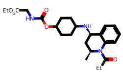 CCOC(=O)CNC(=O)OC1CCC(N[C@@H]2C[C@H](C)N(C(=O)CC)c3ccccc32)CC1